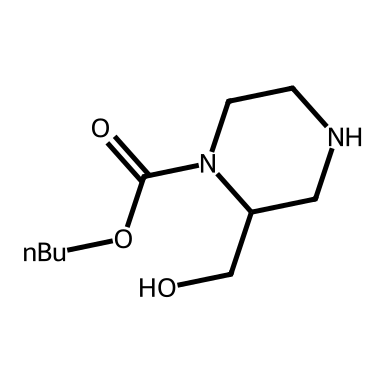 CCCCOC(=O)N1CCNCC1CO